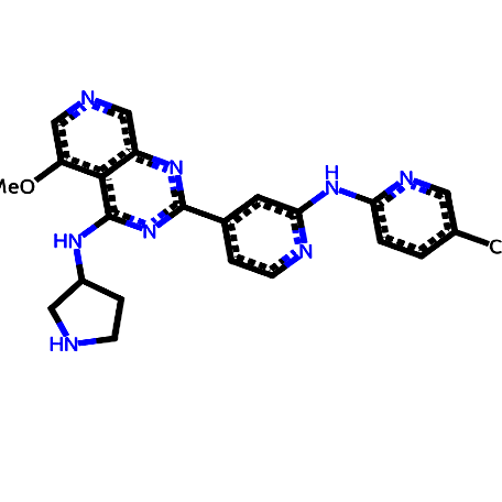 COc1cncc2nc(-c3ccnc(Nc4ccc(C#N)cn4)c3)nc(NC3CCNC3)c12